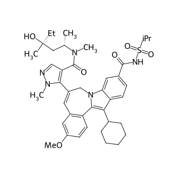 CC[C@](C)(O)C[C@H](C)N(C)C(=O)c1cnn(C)c1C1=Cc2cc(OC)ccc2-c2c(C3CCCCC3)c3ccc(C(=O)NS(=O)(=O)C(C)C)cc3n2C1